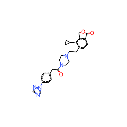 O=C1OCc2c1ccc(CCN1CCN(C(=O)Cc3ccc(-n4cncn4)cc3)CC1)c2C1CC1